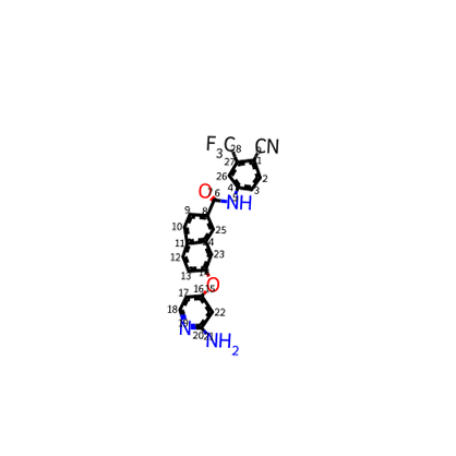 N#Cc1ccc(NC(=O)c2ccc3ccc(Oc4ccnc(N)c4)cc3c2)cc1C(F)(F)F